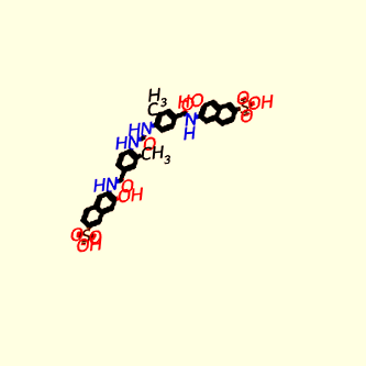 Cc1cc(C(=O)Nc2cc3ccc(S(=O)(=O)O)cc3cc2O)ccc1NC(=O)Nc1ccc(C(=O)Nc2cc3ccc(S(=O)(=O)O)cc3cc2O)cc1C